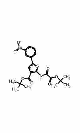 CC(C)(C)OC(=O)C(=O)Nc1sc(-c2cccc([N+](=O)[O-])c2)cc1C(=O)OC(C)(C)C